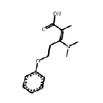 CC(C(=O)O)=C(CCOc1ccccc1)N(C)C